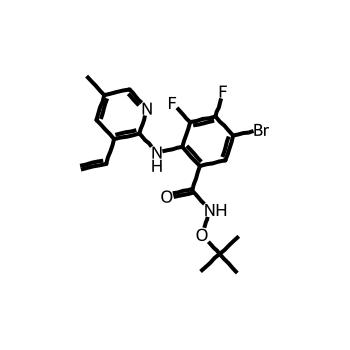 C=Cc1cc(C)cnc1Nc1c(C(=O)NOC(C)(C)C)cc(Br)c(F)c1F